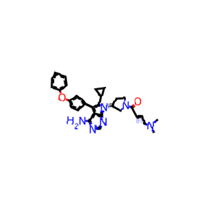 CN(C)C/C=C/C(=O)N1CC[C@@H](n2c(C3CC3)c(-c3ccc(Oc4ccccc4)cc3)c3c(N)ncnc32)C1